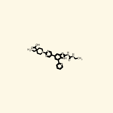 CCNC(=O)Nc1nc2cc(-c3cnc(N4CCC(CC)(C(=O)O)CC4)nc3)cc(-c3ccccn3)c2[nH]1